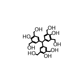 OCc1cc(C(c2cc(CO)c(O)c(CO)c2)c2cc(CO)c(O)c(CO)c2)cc(CO)c1O